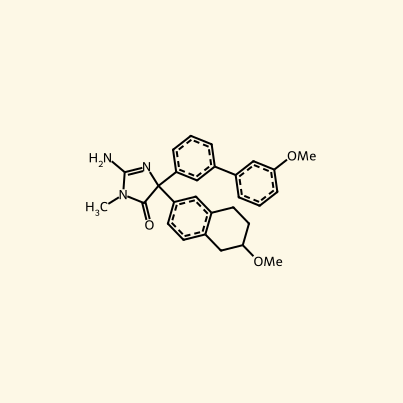 COc1cccc(-c2cccc(C3(c4ccc5c(c4)CCC(OC)C5)N=C(N)N(C)C3=O)c2)c1